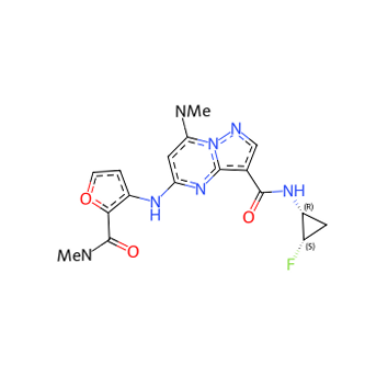 CNC(=O)c1occc1Nc1cc(NC)n2ncc(C(=O)N[C@@H]3C[C@@H]3F)c2n1